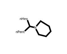 CCCCCCC(CCCCC)N1CCCCC1